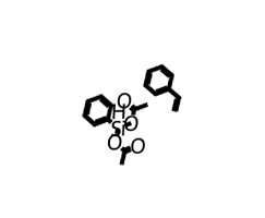 C=Cc1ccccc1.CC(=O)O[SiH](OC(C)=O)c1ccccc1